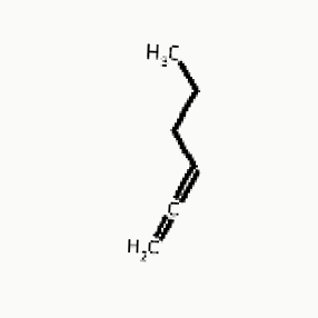 C=C=CCCC